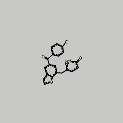 O=C(c1ccc(Cl)cc1)c1cc(Cc2ccc(=O)[nH]n2)c2occc2c1